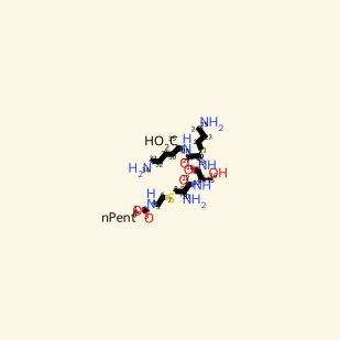 CCCCCOC(=O)NCCSC[C@@H](N)C(=O)N[C@H](CO)C(=O)N[C@@H](CCCCN)C(=O)N[C@@H](CCCCN)C(=O)O